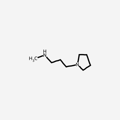 CNCCCN1CCCC1